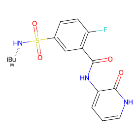 CC[C@@H](C)NS(=O)(=O)c1ccc(F)c(C(=O)Nc2ccc[nH]c2=O)c1